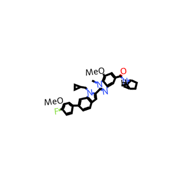 COc1cc(-c2ccc3cc(-c4nc5cc(C(=O)N6CC7CCC6[C@@H]7C)cc(OC)c5n4C)n(CC4CC4)c3c2)ccc1F